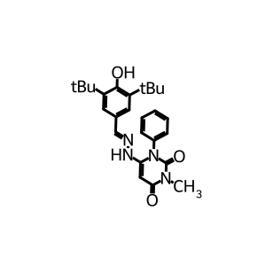 Cn1c(=O)cc(NN=Cc2cc(C(C)(C)C)c(O)c(C(C)(C)C)c2)n(-c2ccccc2)c1=O